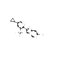 CCS(=O)(=O)c1cc(C2CC2)cnc1-c1cn2cnc(C(F)(F)F)cc2n1